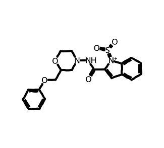 O=C(NN1CCOC(COc2ccccc2)C1)C1=Cc2ccccc2[N+]1=S(=O)=O